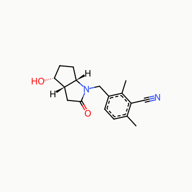 Cc1ccc(CN2C(=O)C[C@@H]3[C@H](O)CC[C@@H]32)c(C)c1C#N